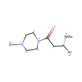 CCN1CCN(C(=O)C[C@H](NC)C(C)=O)CC1